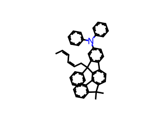 C/C=C\C=C/CC1(c2ccccc2)c2cc(N(c3ccccc3)c3ccccc3)ccc2-c2ccc3c(c21)-c1ccccc1C3(C)C